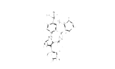 C[C@H]1N=C(c2ccccc2I)c2cc(C34CC3C4)ccc2-n2cnc(-c3cnco3)c21